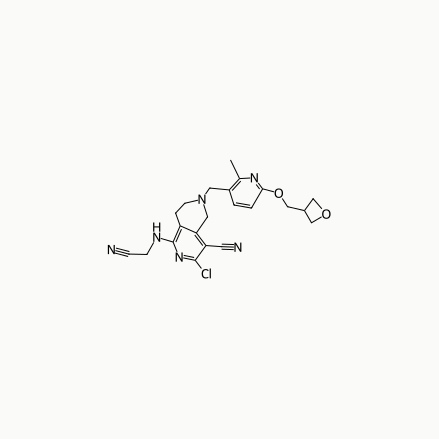 Cc1nc(OCC2COC2)ccc1CN1CCc2c(NCC#N)nc(Cl)c(C#N)c2C1